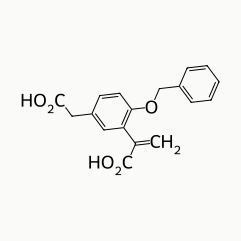 C=C(C(=O)O)c1cc(CC(=O)O)ccc1OCc1ccccc1